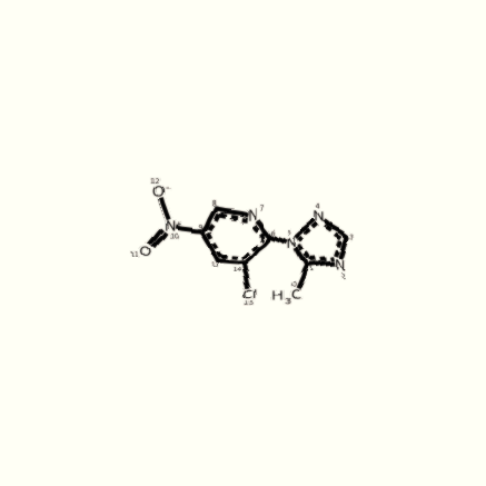 Cc1ncnn1-c1ncc([N+](=O)[O-])cc1Cl